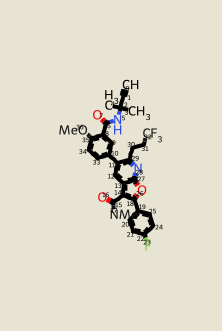 C#CC(C)(C)NC(=O)c1cc(-c2cc3c(C(=O)NC)c(-c4ccc(F)cc4)oc3nc2CCC(F)(F)F)ccc1OC